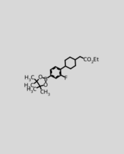 CCOC(=O)CC1CCC(c2ccc(B3OC(C)(C)C(C)(C)O3)cc2F)CC1